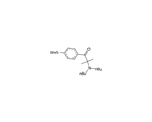 CCCCN(CCCC)C(C)(C)C(=O)c1ccc(SC)cc1